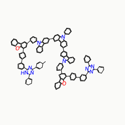 CC1C=CC(C2=NC(C3=CCCC=C3)NC(c3cccc(-c4ccc(-c5cc(-c6cccc(-n7c8ccccc8c8cc(-c9ccc%10c(c9)c9cc(-c%11ccc%12c(c%11)c%11ccccc%11n%12-c%11cccc(-c%12cc(-c%13ccc(-c%14cccc(-c%15nc(C%16=CCCC=C%16)nc(-c%16ccccc%16)n%15)c%14)cc%13)c%13oc%14ccccc%14c%13c%12)c%11)ccc9n%10-c9ccccc9)ccc87)c6)cc6c5oc5ccccc56)cc4)c3)=N2)=CC1